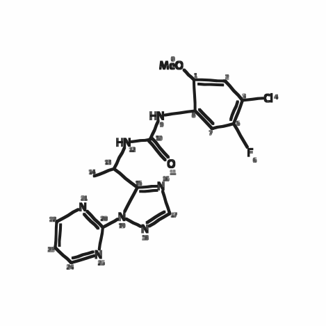 COc1cc(Cl)c(F)cc1NC(=O)NC(C)c1ncnn1-c1ncccn1